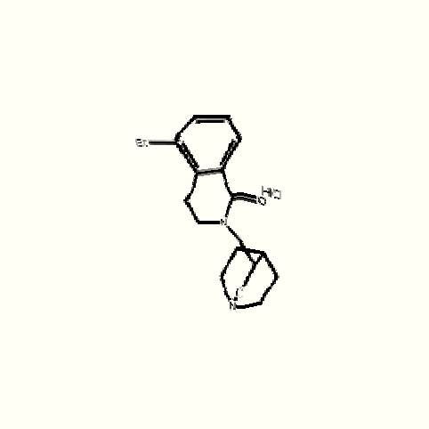 CCc1cccc2c1CCN(C1CN3CCC1CC3)C2=O.Cl